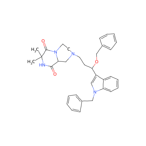 CC1(C)NC(=O)C2CN(CCC(OCc3ccccc3)c3cn(Cc4ccccc4)c4ccccc34)CCN2C1=O